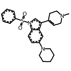 CN1CC=C(c2cn(S(=O)(=O)c3ccccc3)c3ccc(N4CCCCC4)cc23)CC1